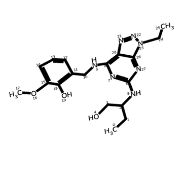 CCC(CO)Nc1nc(NCc2cccc(OC)c2O)c2nnn(CC)c2n1